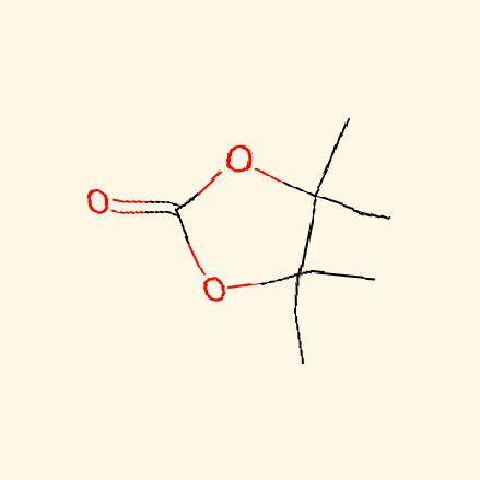 CC1(C)OC(=O)OC1(C)C